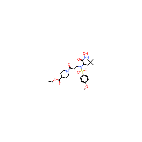 CCOC(=O)C1CCN(C(=O)CCN(C(CC(C)(C)C)C(=O)NO)S(=O)(=O)c2ccc(OC)cc2)CC1